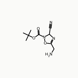 CC(C)(C)OC(=O)N1OC(CN)=NC1C#N